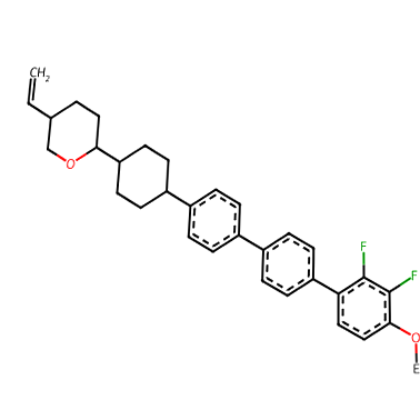 C=CC1CCC(C2CCC(c3ccc(-c4ccc(-c5ccc(OCC)c(F)c5F)cc4)cc3)CC2)OC1